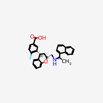 C[C@@H](NC[C@H]1C[C@@H](c2cc(C(=O)O)ccc2F)c2ccccc2O1)c1cccc2ccccc12